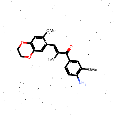 CCC/C(=C\c1cc2c(cc1OC)OCCO2)C(=O)c1ccc(N)c(OC)c1